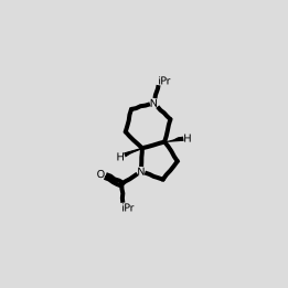 CC(C)C(=O)N1CC[C@H]2CN(C(C)C)CC[C@H]21